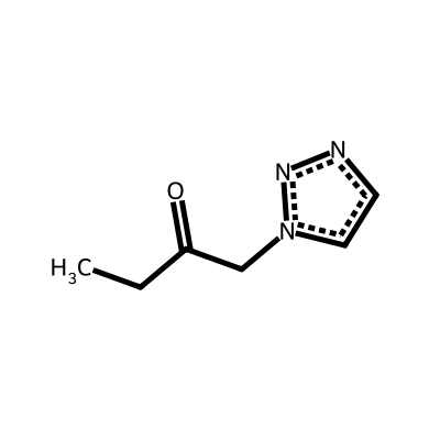 CCC(=O)Cn1ccnn1